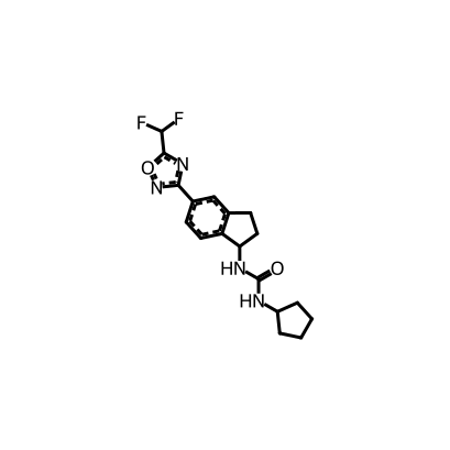 O=C(NC1CCCC1)NC1CCc2cc(-c3noc(C(F)F)n3)ccc21